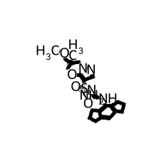 COC[C@@]1(C)COc2c([S@@](N)(=O)=NC(=O)Nc3c4c(cc5c3CCC5)CCC4)cnn2C1